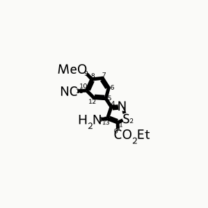 CCOC(=O)c1snc(-c2ccc(OC)c(C#N)c2)c1N